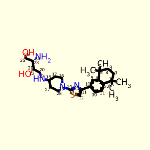 CC1(C)CCC(C)(C)c2cc(-c3csc(N4CCC(NC[C@H](O)[C@@H](N)CO)CC4)n3)ccc21